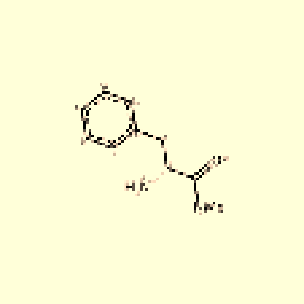 CNC(=O)[C@H](N)Cc1ccccc1